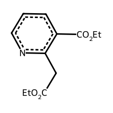 CCOC(=O)Cc1ncccc1C(=O)OCC